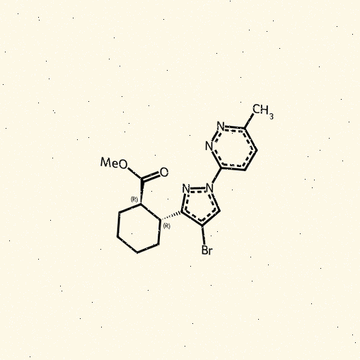 COC(=O)[C@@H]1CCCC[C@H]1c1nn(-c2ccc(C)nn2)cc1Br